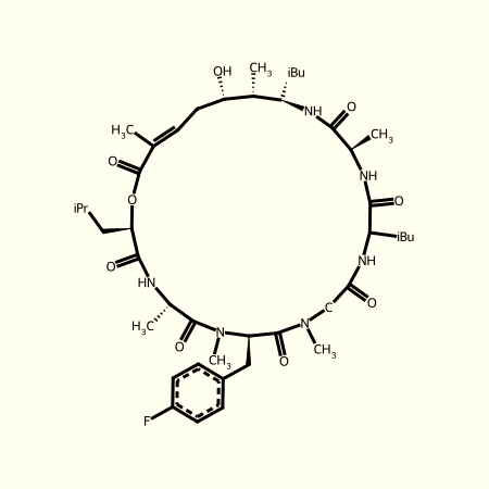 CCC(C)C1NC(=O)CN(C)C(=O)[C@@H](Cc2ccc(F)cc2)N(C)C(=O)[C@H](C)NC(=O)[C@@H](CC(C)C)OC(=O)/C(C)=C/C[C@H](O)[C@H](C)[C@@H]([C@@H](C)CC)NC(=O)[C@@H](C)NC1=O